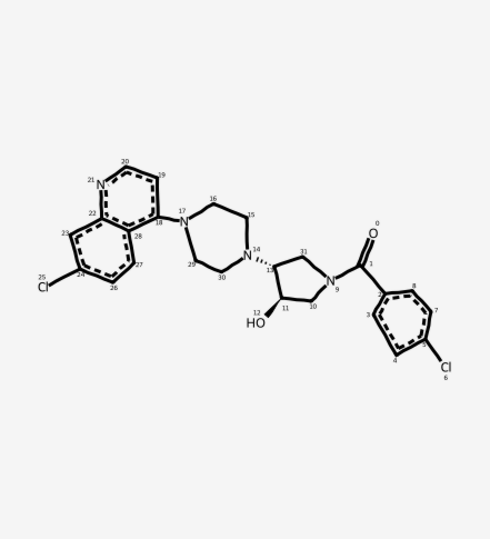 O=C(c1ccc(Cl)cc1)N1C[C@@H](O)[C@H](N2CCN(c3ccnc4cc(Cl)ccc34)CC2)C1